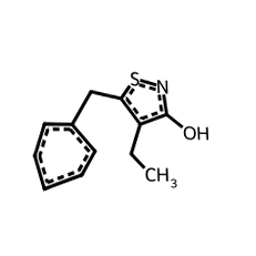 CCc1c(O)nsc1Cc1ccccc1